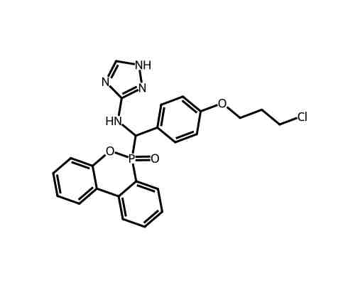 O=P1(C(Nc2nc[nH]n2)c2ccc(OCCCCl)cc2)Oc2ccccc2-c2ccccc21